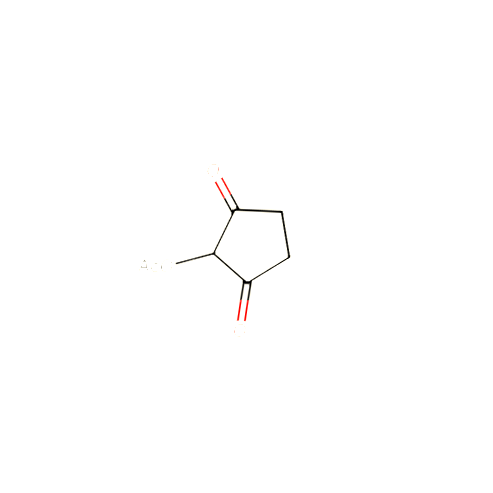 [13CH3][13C](=O)OC1C(=O)CCC1=O